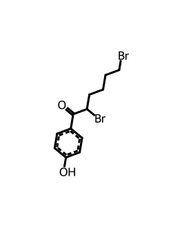 O=C(c1ccc(O)cc1)C(Br)CCCCBr